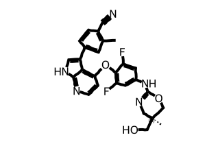 Cc1cc(-c2c[nH]c3nccc(Oc4c(F)cc(NC5=NC[C@](C)(CO)CO5)cc4F)c23)ccc1C#N